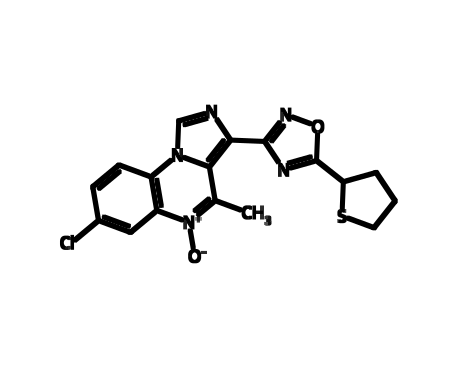 Cc1c2c(-c3noc(C4CCCS4)n3)ncn2c2ccc(Cl)cc2[n+]1[O-]